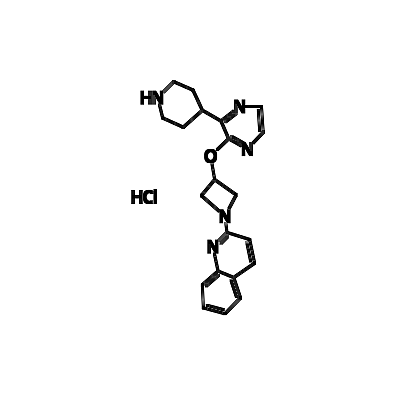 Cl.c1ccc2nc(N3CC(Oc4nccnc4C4CCNCC4)C3)ccc2c1